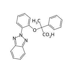 CC(Oc1ccccc1-n1nc2ccccc2n1)(C(=O)O)c1ccccc1